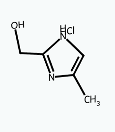 Cc1c[nH]c(CO)n1.Cl